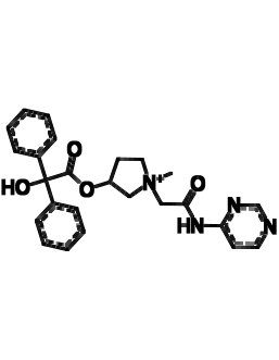 C[N+]1(CC(=O)Nc2ccncn2)CCC(OC(=O)C(O)(c2ccccc2)c2ccccc2)C1